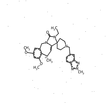 CCN1C(=O)N2Cc3cc(OC)cc(OC)c3[C@@H](C)C=C2C12CCN(Cc1ccc3nn(C)nc3c1)CC2